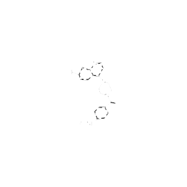 CC(=O)Nc1ccc(C(=O)N2CCN(c3ccnc4cc(Cl)ccc34)CC2)cc1